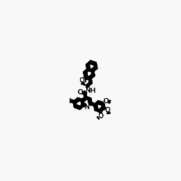 COc1cc(-c2cc(C(=O)N[C@@H](CO)Cc3ccc4ccccc4c3)c3cc(I)ccc3n2)cc(OC)c1OC